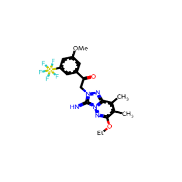 CCOc1nn2c(=N)n(CC(=O)c3cc(OC)cc(S(F)(F)(F)(F)F)c3)nc2c(C)c1C